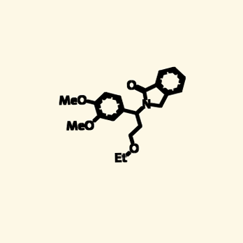 CCOCCC(c1ccc(OC)c(OC)c1)N1Cc2ccccc2C1=O